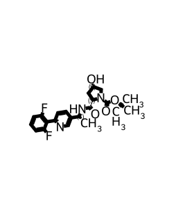 C[C@H](NC(=O)[C@@H]1C[C@@H](O)CN1C(=O)OC(C)(C)C)c1ccc(-c2c(F)cccc2F)nc1